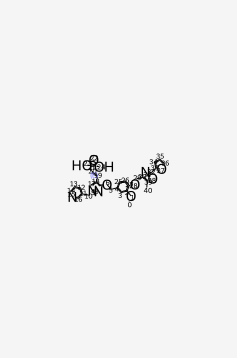 COc1cc(COc2nn(Cc3cccnc3)cc2/C=C/P(=O)(O)O)ccc1OCc1nc(-c2ccco2)oc1C